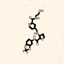 O=C(NCCO)c1cc(CNc2ccsc2C(=O)Nc2ccc3c(c2)OC(F)(F)O3)ccn1